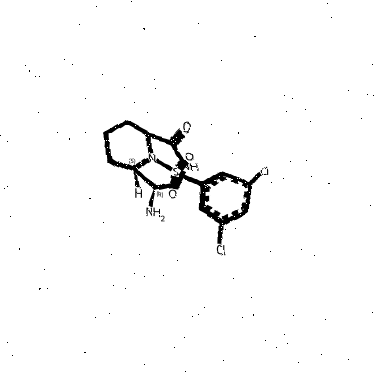 N[C@@H]1CNC(=O)C2CCC[C@@H]1N2S(=O)(=O)c1cc(Cl)cc(Cl)c1